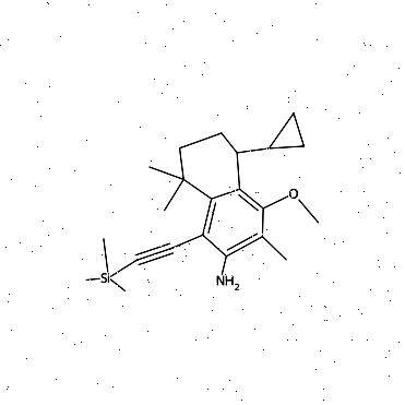 COc1c(C)c(N)c(C#C[Si](C)(C)C)c2c1C(C1CC1)CCC2(C)C